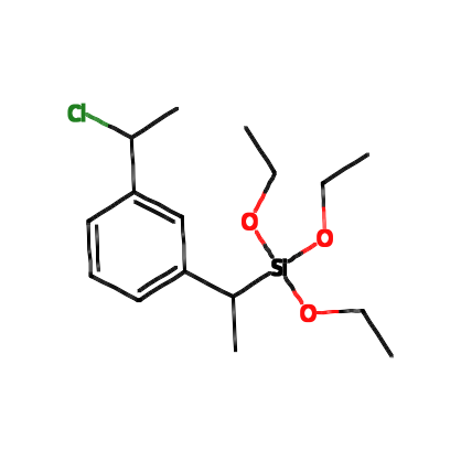 CCO[Si](OCC)(OCC)C(C)c1cccc(C(C)Cl)c1